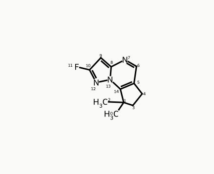 CC1(C)CCc2cnc3cc(F)nn3c21